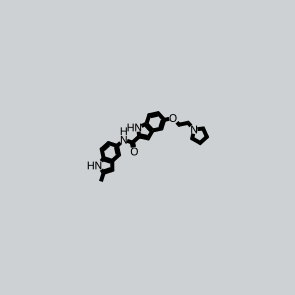 Cc1cc2cc(NC(=O)c3cc4cc(OCCN5CCCC5)ccc4[nH]3)ccc2[nH]1